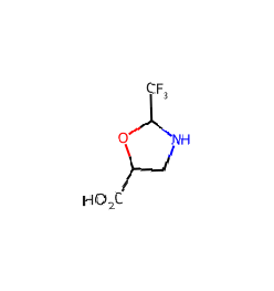 O=C(O)C1CNC(C(F)(F)F)O1